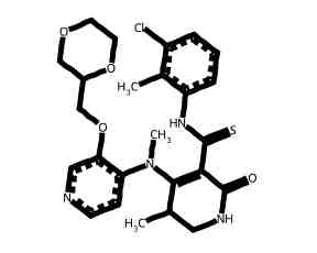 Cc1c(Cl)cccc1NC(=S)C1=C(N(C)c2ccncc2OCC2COCCO2)C(C)CNC1=O